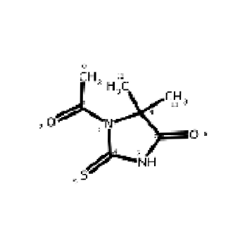 CC(=O)N1C(=S)NC(=O)C1(C)C